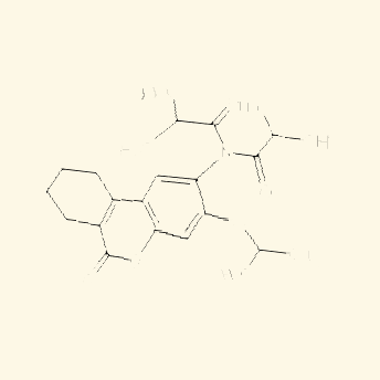 CC(C)Oc1cc2oc(=O)c3c(c2cc1N(C(=O)C(C)C)C(=O)C(C)C)CCCC3